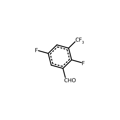 O=Cc1cc(F)cc(C(F)(F)F)c1F